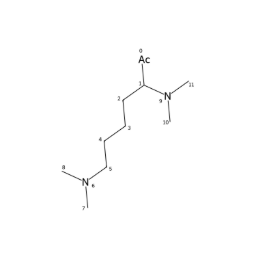 CC(=O)C(CCCCN(C)C)N(C)C